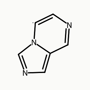 [c]1cncc2cncn12